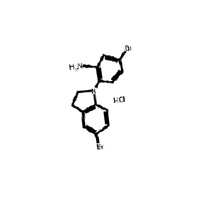 Cl.Nc1cc(Br)ccc1N1CCc2cc(Br)ccc21